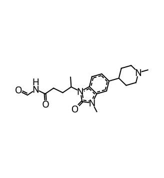 CC(CCC(=O)NC=O)n1c(=O)n(C)c2cc(C3CCN(C)CC3)ccc21